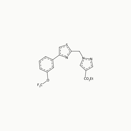 CCOC(=O)c1cnn(Cc2nc(-c3cccc(OC(F)(F)F)c3)cs2)c1